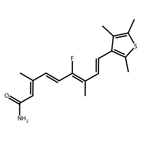 CC(C=CC(F)=C(C)C=Cc1c(C)sc(C)c1C)=CC(N)=O